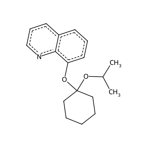 CC(C)OC1(Oc2cccc3cccnc23)CCCCC1